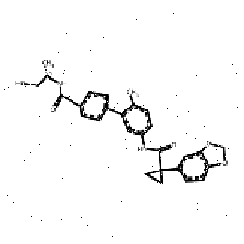 Cc1ccc(NC(=O)C2(c3ccc4c(c3)OCO4)CC2)cc1-c1ccc(C(=O)N[C@@H](C)CO)cc1